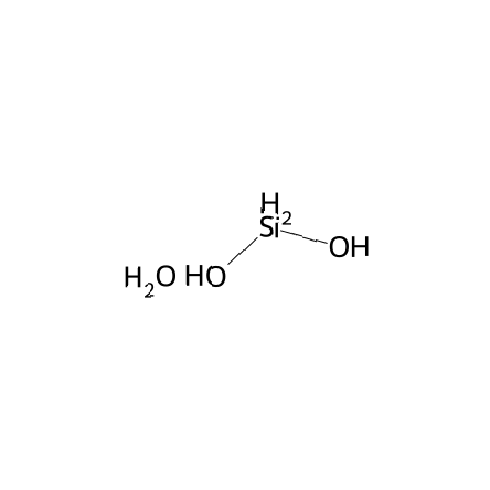 O.O[SiH2]O